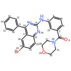 O=C(c1cccc(Nc2nc(-c3ccccc3)c3cc(Br)ccc3n2)c1)N1CCOCC1